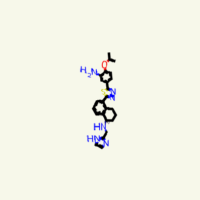 CC(C)Oc1ccc(-c2nnc(-c3cccc4c3CCC[C@H]4NCc3ncc[nH]3)s2)cc1N